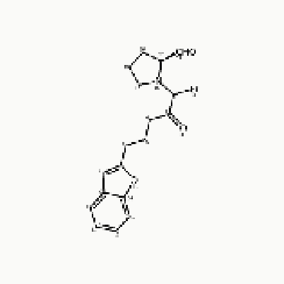 CCC(C(=O)CCCc1cc2ccccc2o1)N1CCC[C@H]1C=O